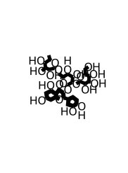 CC1OC(OCC2OC(Oc3c(-c4ccc(O)c(O)c4)oc4cc(O)cc(O)c4c3=O)C(OC3OC(CO)C(O)C(O)C3O)C(O)C2O)C(O)C(O)C1O